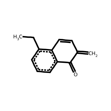 C=C1C=Cc2c(CC)cccc2C1=O